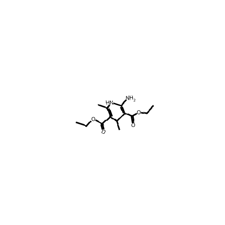 CCOC(=O)C1=C(C)NC(N)=C(C(=O)OCC)C1C